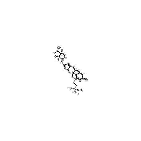 C[Si](C)(C)CCOCC1(c2ccc(Br)cc2)N=C2N=C(O[C@@H]3CO[C@H]4[C@@H]3OC[C@H]4O)N=C2C=C1Cl